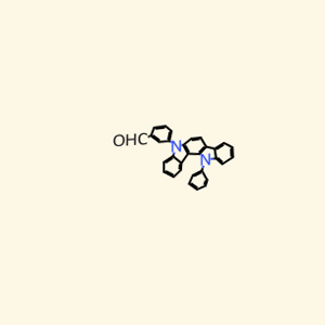 O=Cc1cccc(-n2c3ccccc3c3c2ccc2c4ccccc4n(-c4ccccc4)c23)c1